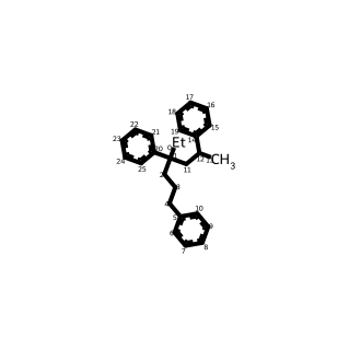 [CH2]CC(CCCc1ccccc1)(CC(C)c1ccccc1)c1ccccc1